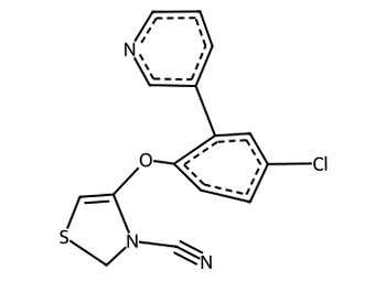 N#CN1CSC=C1Oc1ccc(Cl)cc1-c1cccnc1